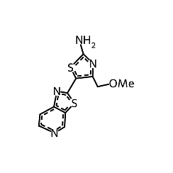 COCc1nc(N)sc1-c1nc2ccncc2s1